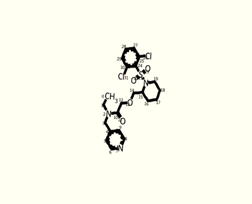 CCN(Cc1ccncc1)C(=O)COCC1CCCCN1S(=O)(=O)c1c(Cl)cccc1Cl